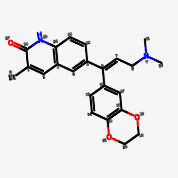 CCc1cc2cc(/C(=C/CN(C)C)c3ccc4c(c3)OCCO4)ccc2[nH]c1=O